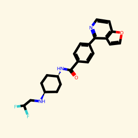 O=C(N[C@H]1CC[C@H](NCC(F)F)CC1)c1ccc(-c2nccc3occc23)cc1